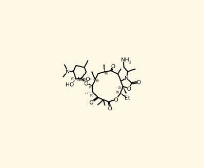 CC[C@H]1OC(=O)C(C)(C)C(=O)[C@H](C)[C@@H](OC2CC(C)CC(N(C)C)[C@H]2O)[C@](C)(OC)C[C@@H](C)C(=O)C(C)C2N(C(C)CN)C(=O)O[C@@]21C